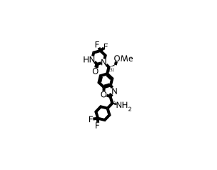 COC[C@H](c1ccc2oc([C@@H](N)C3CCC(F)(F)CC3)nc2c1)N1CC(F)(F)CNC1=O